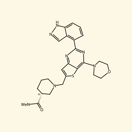 CNC(=O)[C@@H]1CCCN(Cc2cc3nc(-c4cccc5[nH]ncc45)nc(N4CCOCC4)c3s2)C1